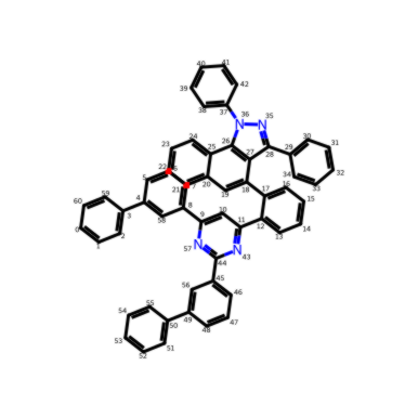 c1ccc(-c2cccc(-c3cc(-c4ccccc4-c4cc5ccccc5c5c4c(-c4ccccc4)nn5-c4ccccc4)nc(-c4cccc(-c5ccccc5)c4)n3)c2)cc1